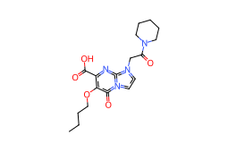 CCCCOc1c(C(=O)O)nc2n(CC(=O)N3CCCCC3)ccn2c1=O